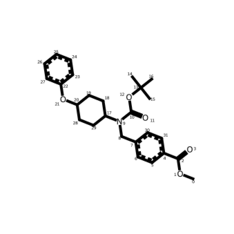 COC(=O)c1ccc(CN(C(=O)OC(C)(C)C)C2CCC(Oc3ccccc3)CC2)cc1